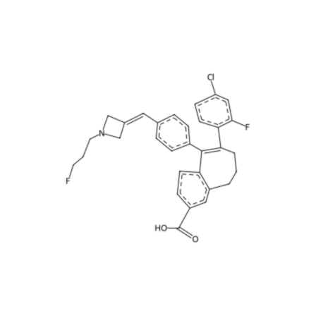 O=C(O)c1ccc2c(c1)CCCC(c1ccc(Cl)cc1F)=C2c1ccc(C=C2CN(CCCF)C2)cc1